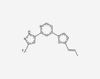 C/C=C/c1ccc(-c2ccnc(-c3cc(C(F)(F)F)n[nH]3)c2)s1